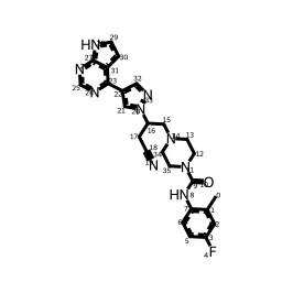 Cc1cc(F)ccc1NC(=O)N1CCN(CC(CC#N)n2cc(-c3ncnc4[nH]ccc34)cn2)CC1